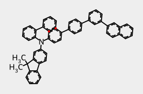 CC1(C)c2ccccc2-c2ccc(N(c3ccc(-c4ccc(-c5cccc(-c6ccc7ccccc7c6)c5)cc4)cc3)c3ccccc3-c3ccccc3)cc21